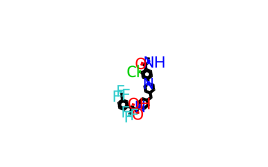 CNC(=O)c1ccc(N2CCC(CC3CCN(C(=O)C(O)(c4cccc(C(F)(F)F)c4)C(F)(F)F)CC3)CC2)cc1Cl